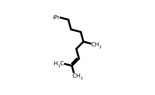 CC(C)=CCC(C)CCCC(C)C